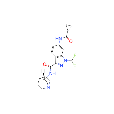 O=C(N[C@@H]1CN2CCC1CC2)c1nn(C(F)F)c2cc(NC(=O)C3CC3)ccc12